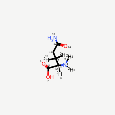 [2H]N([2H])[C@]([2H])(C(=O)O)C([2H])([2H])CC(N)=O